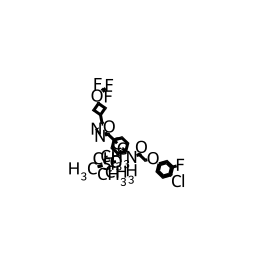 CC(C)(C)[Si](C)(C)OC1CC2(c3nnc(C4CC(OC(F)(F)F)C4)o3)CCC1(NC(=O)COc1ccc(Cl)c(F)c1)CC2